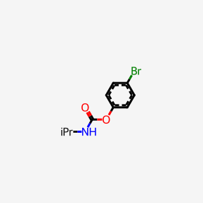 CC(C)NC(=O)Oc1ccc(Br)cc1